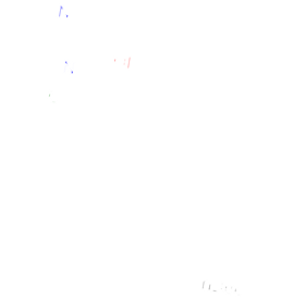 CCCCCCCCCCCCCCCCCCC(O)[N+]1(Cl)C=NCC1